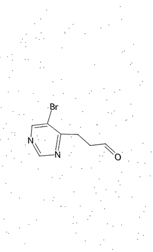 O=CCCc1ncncc1Br